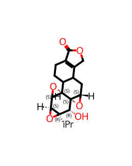 CC(C)[C@]12O[C@H]1[C@@H]1O[C@@]13C1CCC4=C(COC4=O)C1C[C@@H]1O[C@@]13[C@@H]2O